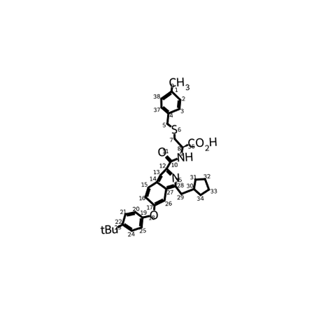 Cc1ccc(CSC[C@H](NC(=O)c2cc3ccc(Oc4ccc(C(C)(C)C)cc4)cc3c(CC3CCCC3)n2)C(=O)O)cc1